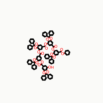 O=C(Oc1ccccc1)c1cc(OC(=O)c2cc(OC(=O)c3cc(OC(=O)c4cc(OC(=O)c5cc(O)c6c(c5)OC(c5ccccc5)(c5ccccc5)O6)c5c(c4)OC(c4ccccc4)(c4ccccc4)O5)c4c(c3)OC(c3ccccc3)(c3ccccc3)O4)c3c(c2)OC(c2ccccc2)(c2ccccc2)O3)c2c(c1)OC(c1ccccc1)(c1ccccc1)O2